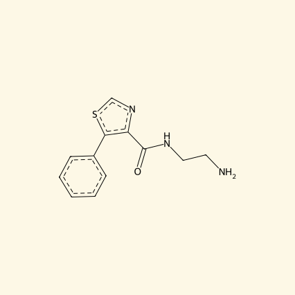 NCCNC(=O)c1ncsc1-c1ccccc1